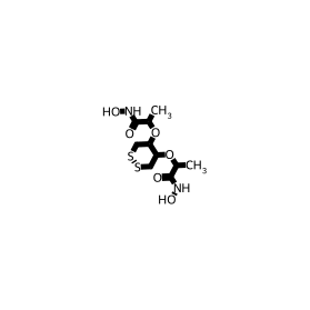 CC(OC1CSSCC1OC(C)C(=O)NO)C(=O)NO